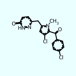 Cn1c(Cc2ccc(=O)[nH]n2)cc(Cl)c1C(=O)c1ccc(Cl)cc1